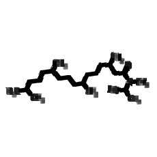 CC(C)CCCC(C)CCCC(C)CCCC(C)CC(=O)N(C)C(C)O